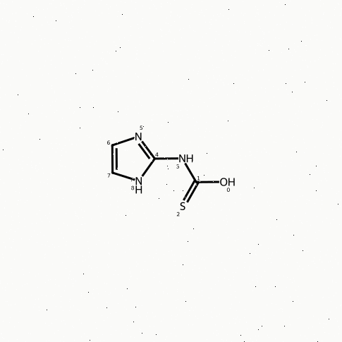 OC(=S)Nc1ncc[nH]1